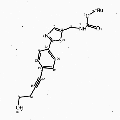 CC(C)(C)OC(=O)NCc1cnc(-c2ccc(C#CCCO)cc2)s1